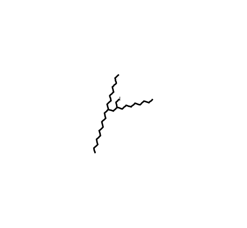 CCCCCCCCCCC(CCCCCCCC)CC(CI)CCCCCCCC